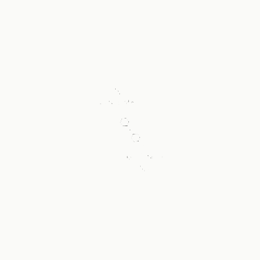 CCCCCCCCN(CC(COc1ccc(C(C)(C)c2ccc(OCC(CN(CCCCCCCC)C3CC(C)(C)N(C)C(C)(C)C3)OC)cc2)cc1)OC)C1CC(C)(C)N(C)C(C)(C)C1